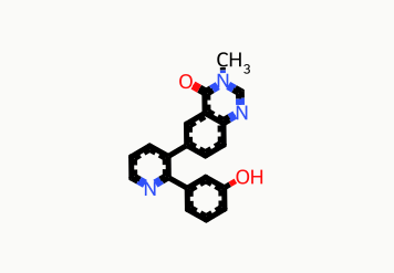 Cn1cnc2ccc(-c3cccnc3-c3cccc(O)c3)cc2c1=O